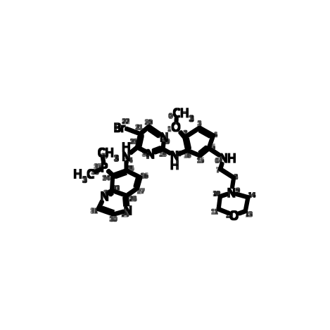 COc1ccc(NCCN2CCOCC2)cc1Nc1ncc(Br)c(Nc2ccc3nccnc3c2P(C)C)n1